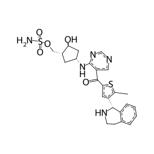 Cc1sc(C(=O)c2cncnc2N[C@@H]2C[C@H](COS(N)(=O)=O)[C@@H](O)C2)cc1[C@H]1NCCc2ccccc21